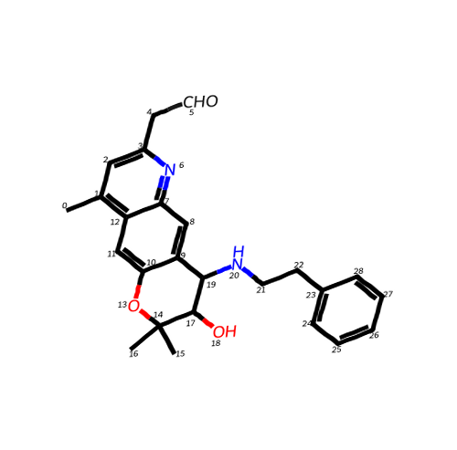 Cc1cc(CC=O)nc2cc3c(cc12)OC(C)(C)C(O)C3NCCc1ccccc1